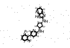 Fc1cccc(F)c1-c1ccc(N[C@H]2CC[C@H](Nc3nc4cccnc4[nH]3)C2)nc1